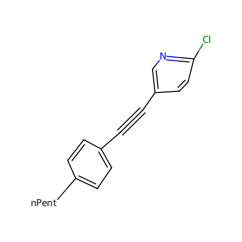 CCCCCc1ccc(C#Cc2ccc(Cl)nc2)cc1